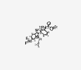 CCCOC(=O)Nc1cccc(-c2c(N)c3ccc(OC(F)F)cc3n2CC2CC2)c1